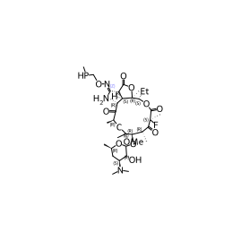 CC[C@@H]1OC(=O)[C@@](C)(F)C(=O)[C@H](C)[C@@H](OC2O[C@H](C)C[C@H](N(C)C)[C@H]2O)[C@](C)(OC)C[C@@H](C)C(=O)[C@H](C)[C@H]2[C@H](/C(N)=N/OCPC)C(=O)O[C@]21C